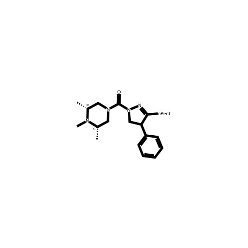 CCCCCC1=NN(C(=O)N2C[C@@H](C)N(C)[C@@H](C)C2)CC1c1ccccc1